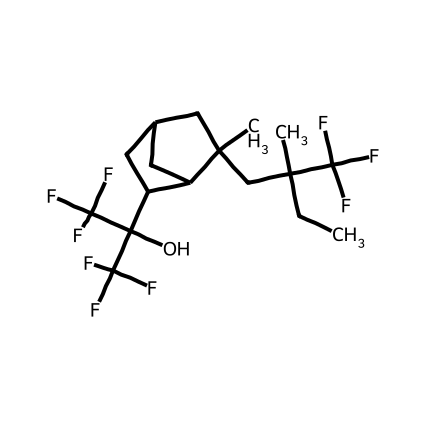 CCC(C)(CC1(C)CC2CC1C(C(O)(C(F)(F)F)C(F)(F)F)C2)C(F)(F)F